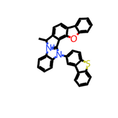 CC1c2ccc3c(oc4ccccc43)c2-c2n(-c3ccc4sc5ccccc5c4c3)c3ccccc3[n+]21